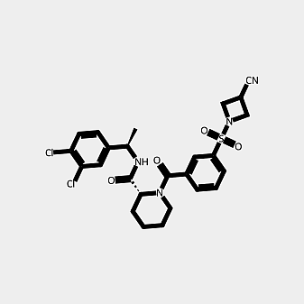 C[C@@H](NC(=O)[C@H]1CCCCN1C(=O)c1cccc(S(=O)(=O)N2CC(C#N)C2)c1)c1ccc(Cl)c(Cl)c1